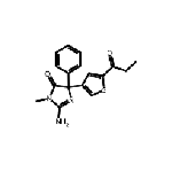 CCC(=O)c1cc(C2(c3ccccc3)N=C(N)N(C)C2=O)cs1